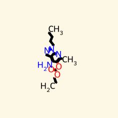 C=CCOC(=O)Oc1c(C)nc2c(cnn2CCCCC)c1N